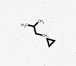 C1CC1.CCC(C)C